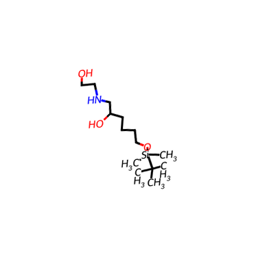 CC(C)(C)[Si](C)(C)OCCCCC(O)CNCCO